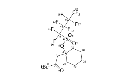 CC(C)(C)C(=O)CS1(OS(=O)(=O)C(F)(F)C(F)(F)C(F)(F)C(F)(F)F)CCCCC1